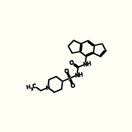 CCN1CCC(S(=O)(=O)NC(=O)Nc2c3c(cc4c2CCC4)CC=C3)CC1